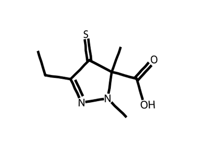 CCC1=NN(C)C(C)(C(=O)O)C1=S